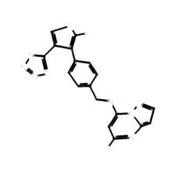 CCc1cc(NCc2ccc(-c3c(-c4nnn[nH]4)csc3Br)cc2)n2nccc2n1